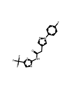 O=C(Cc1cnn(-c2ccc(F)cc2)c1)Nc1ncc(C(F)(F)F)s1